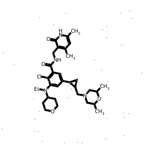 CCN(c1cc(C2CC2CN2CC(C)OC(C)C2)cc(C(=O)NCc2c(C)cc(C)[nH]c2=O)c1Cl)C1CCOCC1